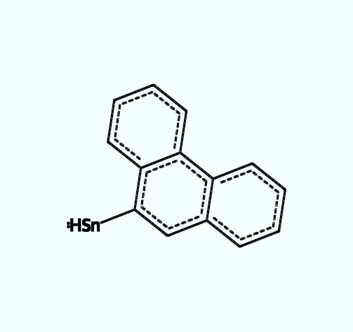 [SnH][c]1cc2ccccc2c2ccccc12